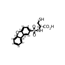 O=C(O)[C@@H](CS)NS(=O)(=O)c1ccc2oc3ccccc3c2c1